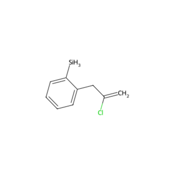 C=C(Cl)Cc1ccccc1[SiH3]